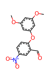 COc1cc(OC)cc(Oc2ccc([N+](=O)[O-])cc2C=O)c1